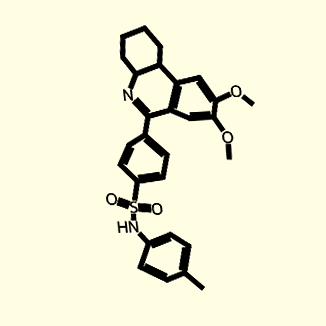 COc1cc2c(cc1OC)C1CCCCC1N=C2c1ccc(S(=O)(=O)Nc2ccc(C)cc2)cc1